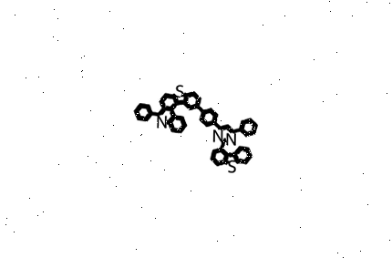 c1ccc(-c2cc(-c3ccc(-c4ccc5sc6ccc7c(-c8ccccc8)nc8ccccc8c7c6c5c4)cc3)nc(-c3cccc4sc5ccccc5c34)n2)cc1